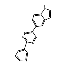 c1ccc(-c2nnc(-c3ccc4[nH]ccc4c3)nn2)cc1